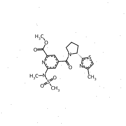 COC(=O)c1cc(C(=O)N2CCC[C@@H]2c2nc(C)cs2)cc(N(C)S(C)(=O)=O)n1